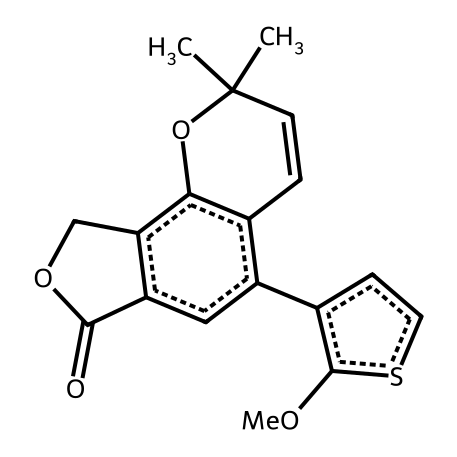 COc1sccc1-c1cc2c(c3c1C=CC(C)(C)O3)COC2=O